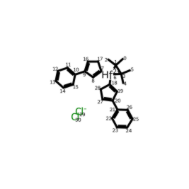 C[C]1(C)[C](C)(C)[Hf+2]1([C]1=CC(c2ccccc2)=CC1)[C]1=CC(c2ccccc2)=CC1.[Cl-].[Cl-]